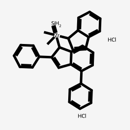 Cl.Cl.[CH3][Zr]([CH3])(=[SiH2])([CH]1C=Cc2ccccc21)[CH]1C(c2ccccc2)=Cc2c(-c3ccccc3)cccc21